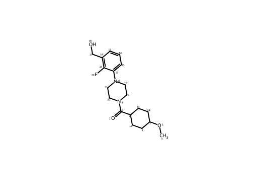 COC1CCC(C(=O)N2CCN(c3cccc(CO)c3F)CC2)CC1